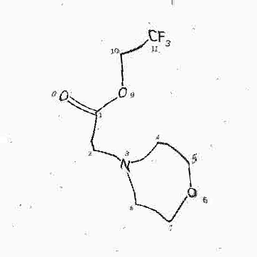 O=C(CN1CCOCC1)OCC(F)(F)F